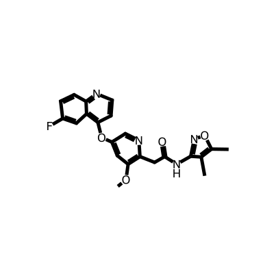 COc1cc(Oc2ccnc3ccc(F)cc23)cnc1CC(=O)Nc1noc(C)c1C